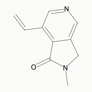 C=Cc1cncc2c1C(=O)N(C)C2